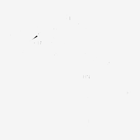 C[C@]1(O)C2CCC1C[C@@H](S(=O)(=O)c1cc(C(=O)Nc3cc(F)cc(F)c3)ccc1Cl)C2